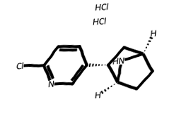 Cl.Cl.Clc1ccc([C@@H]2C[C@H]3CC[C@@H]2N3)cn1